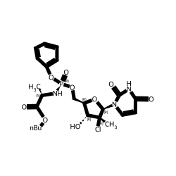 CCCCOC(=O)[C@H](C)N[P@@](=O)(OC[C@H]1O[C@@H](n2ccc(=O)[nH]c2=O)[C@](C)(Cl)[C@@H]1O)Oc1ccccc1